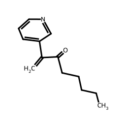 C=C(C(=O)CCCCC)c1cccnc1